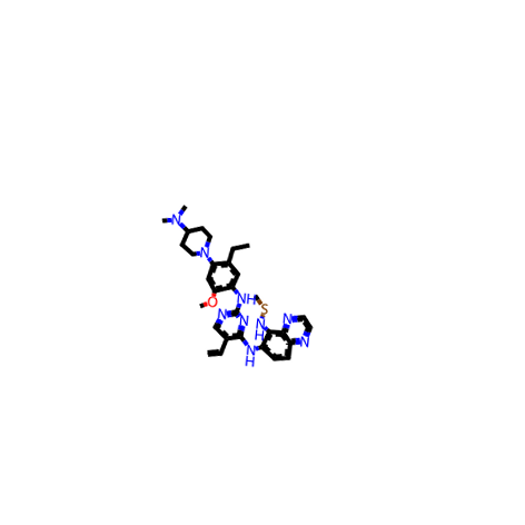 C=Cc1cnc(Nc2cc(CC)c(N3CCC(N(C)C)CC3)cc2OC)nc1Nc1ccc2nccnc2c1NSC